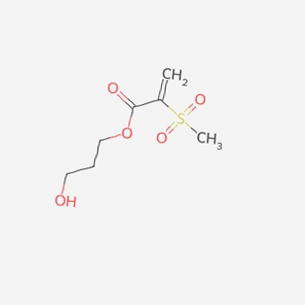 C=C(C(=O)OCCCO)S(C)(=O)=O